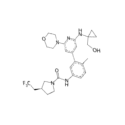 Cc1ccc(NC(=O)N2CC[C@@H](CC(F)(F)F)C2)cc1-c1cc(NC2(CO)CC2)nc(N2CCOCC2)c1